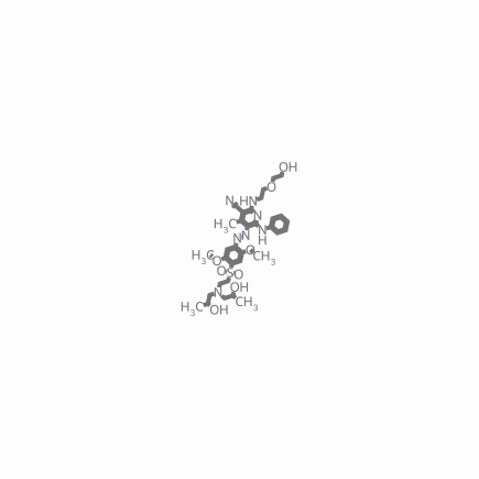 COc1cc(S(=O)(=O)CCN(CC(C)O)CC(C)O)c(OC)cc1/N=N/c1c(Nc2ccccc2)nc(NCCOCCO)c(C#N)c1C